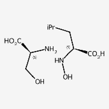 CC(C)C[C@H](NO)C(=O)O.N[C@@H](CO)C(=O)O